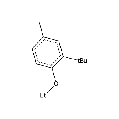 CCOc1ccc(C)cc1C(C)(C)C